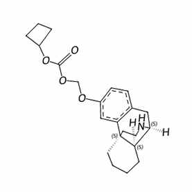 O=C(OCOc1ccc2c(c1)[C@]13CCCC[C@@H]1[C@H](C2)NCC3)OC1CCC1